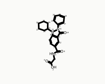 O=C(O)CNC(=O)c1ccc2c(c1)c(=O)n(-c1ccccc1)n2C1CCCCC1